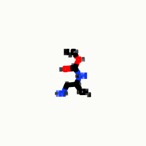 COC(=O)NC(C)C[NH]